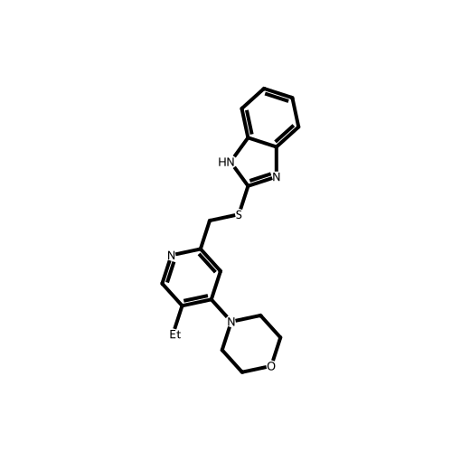 CCc1cnc(CSc2nc3ccccc3[nH]2)cc1N1CCOCC1